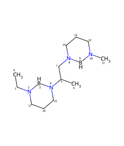 CCN1BN(C(C)CN2BN(C)CCC2)CCC1